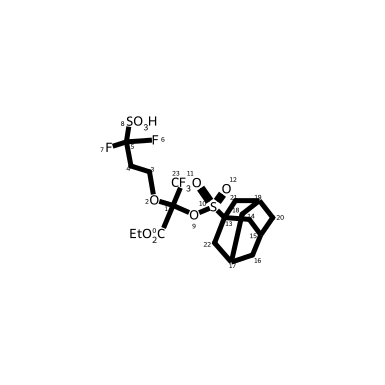 CCOC(=O)C(OCCC(F)(F)S(=O)(=O)O)(OS(=O)(=O)C12CC3CC(CC(C3)C1)C2)C(F)(F)F